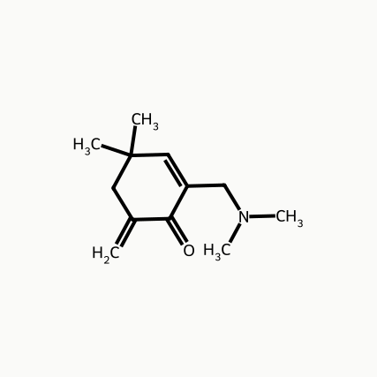 C=C1CC(C)(C)C=C(CN(C)C)C1=O